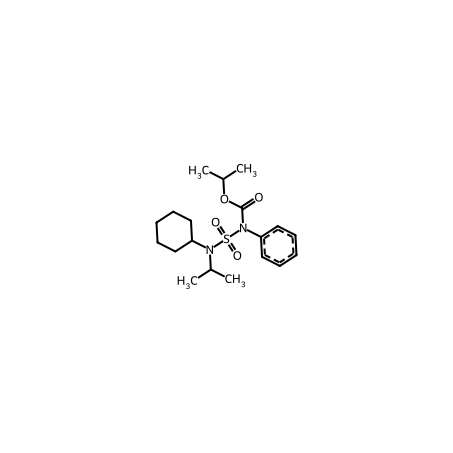 CC(C)OC(=O)N(c1ccccc1)S(=O)(=O)N(C(C)C)C1CCCCC1